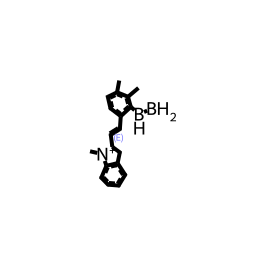 BBc1c(/C=C/C2=[N+](C)c3ccccc3C2)ccc(C)c1C